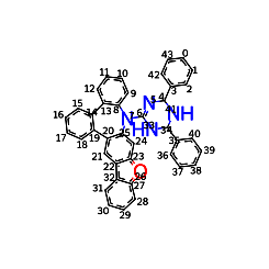 c1ccc(C2N=C(N3c4ccccc4-c4ccccc4-c4cc5c(cc43)oc3ccccc35)NC(c3ccccc3)N2)cc1